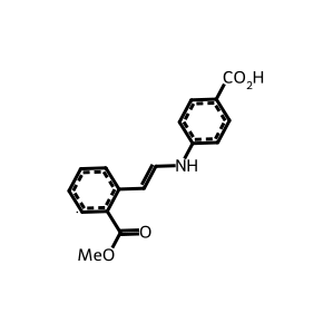 COC(=O)c1[c]cccc1C=CNc1ccc(C(=O)O)cc1